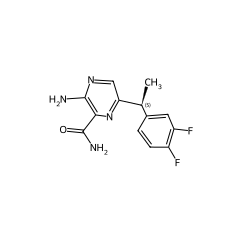 C[C@@H](c1ccc(F)c(F)c1)c1cnc(N)c(C(N)=O)n1